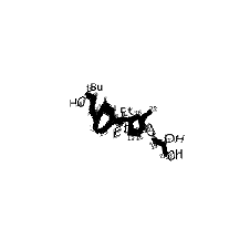 CCC(CC)(c1ccc(/C=C/C(O)C(C)(C)C)cc1)c1ccc(OC[C@@H](O)CO)c(C)c1